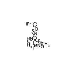 CC(C)c1cccc(Oc2nc(C(=O)NC(C)c3cc(F)c(NS(C)(=O)=O)c(F)c3)cs2)c1